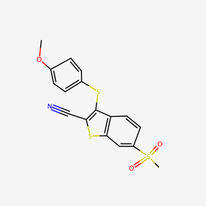 COc1ccc(Sc2c(C#N)sc3cc(S(C)(=O)=O)ccc23)cc1